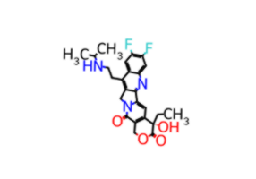 CC[C@@]1(O)C(=O)OCc2c1cc1n(c2=O)Cc2c-1nc1cc(F)c(F)cc1c2CCNC(C)C